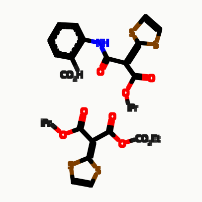 CC(C)OC(=O)C(C(=O)Nc1ccccc1C(=O)O)=C1SC=CS1.CCOC(=O)OC(=O)C(C(=O)OC(C)C)=C1SC=CS1